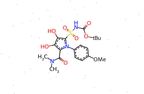 COc1ccc(-n2c(C(=O)N(C)C)c(O)c(O)c2S(=O)(=O)NC(=O)OC(C)(C)C)cc1